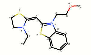 CCN1CCSC1=Cc1sc2ccccc2[n+]1CCOC